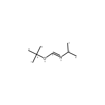 CC(C)N=COC(C)(C)C